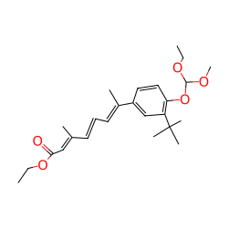 CCOC(=O)/C=C(\C)C=CC=C(C)c1ccc(OC(OC)OCC)c(C(C)(C)C)c1